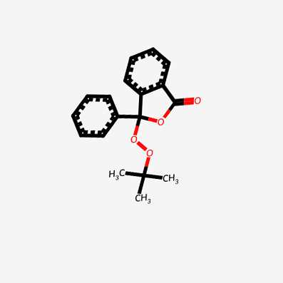 CC(C)(C)OOC1(c2ccccc2)OC(=O)c2ccccc21